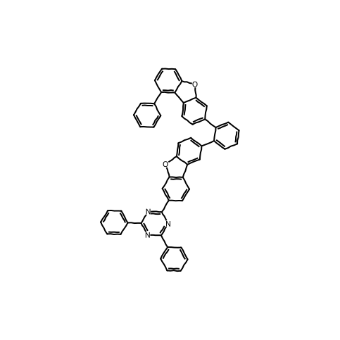 c1ccc(-c2nc(-c3ccccc3)nc(-c3ccc4c(c3)oc3ccc(-c5ccccc5-c5ccc6c(c5)oc5cccc(-c7ccccc7)c56)cc34)n2)cc1